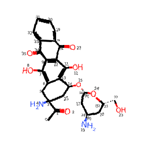 CC(=O)C1(N)Cc2c(O)c3c(c(O)c2C(O[C@H]2C[C@H](N)C[C@@H](CO)O2)C1)C(=O)c1ccccc1C3=O